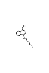 CCCCCCOc1ccc(C=O)c2ccccc12